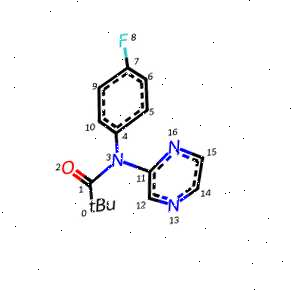 CC(C)(C)C(=O)N(c1ccc(F)cc1)c1cnccn1